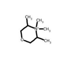 CC1COCC(C)[N+]1(C)C